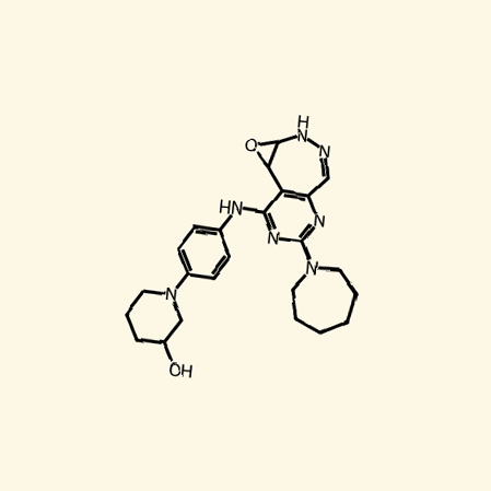 OC1CCCN(c2ccc(Nc3nc(N4CCCCCC4)nc4c3C3OC3NN=C4)cc2)C1